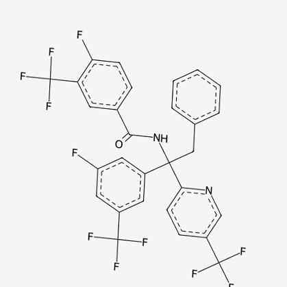 O=C(NC(Cc1ccccc1)(c1cc(F)cc(C(F)(F)F)c1)c1ccc(C(F)(F)F)cn1)c1ccc(F)c(C(F)(F)F)c1